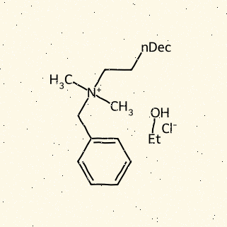 CCCCCCCCCCCC[N+](C)(C)Cc1ccccc1.CCO.[Cl-]